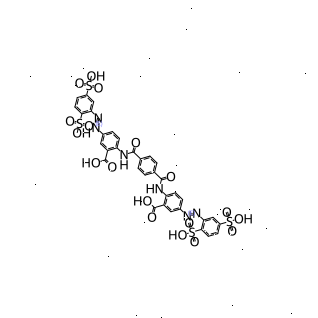 O=C(Nc1ccc(/N=N/c2cc(S(=O)(=O)O)ccc2S(=O)(=O)O)cc1C(=O)O)c1ccc(C(=O)Nc2ccc(/N=N/c3cc(S(=O)(=O)O)ccc3S(=O)(=O)O)cc2C(=O)O)cc1